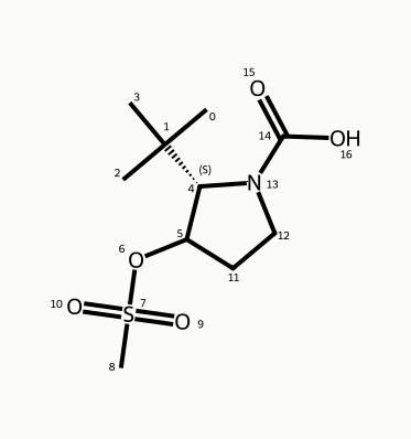 CC(C)(C)[C@H]1C(OS(C)(=O)=O)CCN1C(=O)O